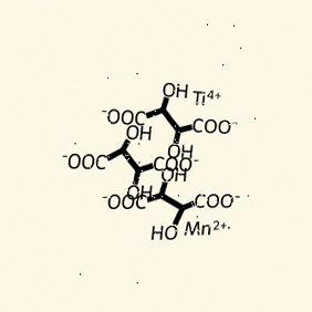 O=C([O-])C(O)C(O)C(=O)[O-].O=C([O-])C(O)C(O)C(=O)[O-].O=C([O-])C(O)C(O)C(=O)[O-].[Mn+2].[Ti+4]